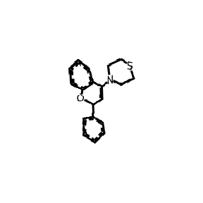 C1=C(N2CCSCC2)c2ccccc2OC1c1ccccc1